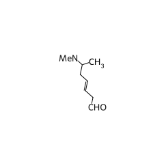 CNC(C)C/C=C/CC=O